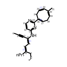 CC#C/C(=C\C=C(/CF)CCC)Nc1ccnc(/C2=C/CC=C(C)/C=C\C2)n1